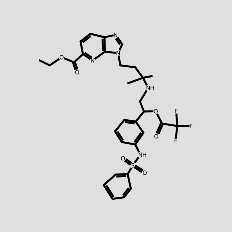 CCOC(=O)c1ccc2ncn(CCC(C)(C)NCC(OC(=O)C(F)(F)F)c3cccc(NS(=O)(=O)c4ccccc4)c3)c2n1